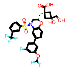 O=C(O)[C@]1(C[C@H]2CN(S(=O)(=O)c3cccc(C(F)(F)F)c3)c3cc(-c4cc(F)cc(OC(F)F)c4)ccc3O2)C[C@@](O)(CO)C1